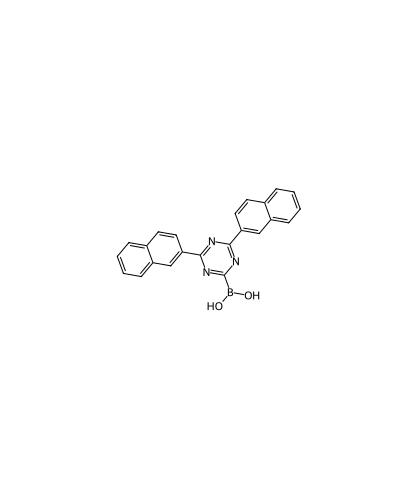 OB(O)c1nc(-c2ccc3ccccc3c2)nc(-c2ccc3ccccc3c2)n1